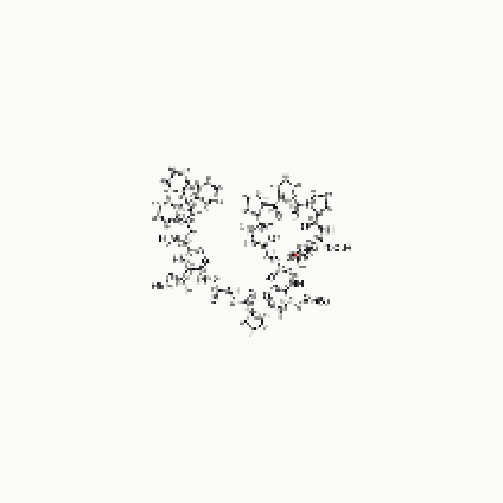 C[C@H](NC(=O)CNC(=O)[C@H](COC(C)(C)C)NC(=O)[C@H](COC(C)(C)C)NC(=O)[C@@H]1CCCN1C(=O)CNC(=O)CNC(=O)[C@@H](NC(=O)[C@@H](N)CC(=O)NC(c1ccccc1)(c1ccccc1)c1ccccc1)[C@@H](C)OC(C)(C)C)C(=O)N1CCC[C@H]1C(=O)N1CCC[C@H]1C(=O)N1CCC[C@H]1C(=O)N[C@@H](COC(C)(C)C)C(=O)O